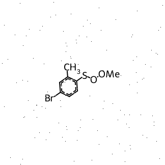 COOSc1ccc(Br)cc1C